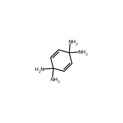 NC1(N)C=CC(N)(N)C=C1